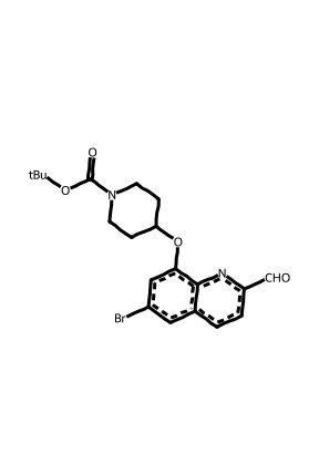 CC(C)(C)OC(=O)N1CCC(Oc2cc(Br)cc3ccc(C=O)nc23)CC1